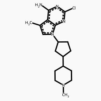 Cc1cn(C2CCC(C3CCN(C)CC3)C2)c2nc(Cl)nc(N)c12